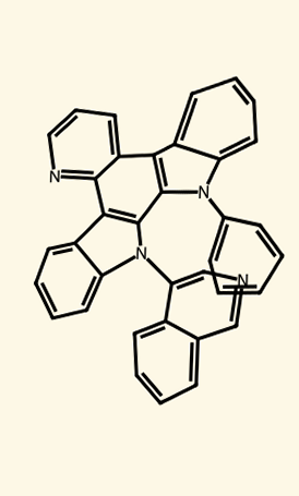 c1ccc(-n2c3ccccc3c3c4cccnc4c4c5ccccc5n(-c5cncc6ccccc56)c4c32)cc1